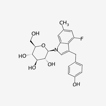 Cc1cc(F)c2c(Cc3ccc(O)cc3)cn([C@@H]3O[C@H](CO)[C@@H](O)[C@H](O)[C@H]3O)c2c1